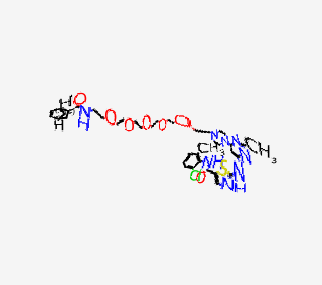 Cc1nc(Nc2ncc(C(=O)Nc3c(C)cccc3Cl)s2)cc(N2CCN(CCOCCOCCOCCOCCOCCNC(=O)[C@H]3C[C@H]4C=C[C@@H]3C4)CC2)n1